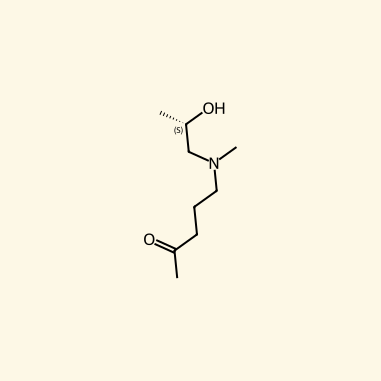 CC(=O)CCCN(C)C[C@H](C)O